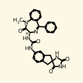 CN1C(=O)[C@H](NC(=O)Nc2ccc3c(c2)CC2(C3)NC(=O)NC2=O)N=C(c2ccccc2)c2ccccc21